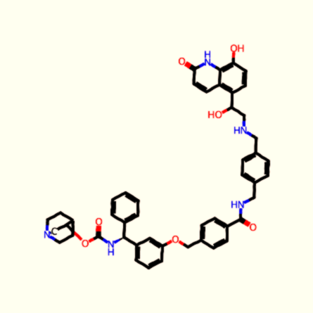 O=C(N[C@@H](c1ccccc1)c1cccc(OCc2ccc(C(=O)NCc3ccc(CNCC(O)c4ccc(O)c5[nH]c(=O)ccc45)cc3)cc2)c1)OC1CN2CCC1CC2